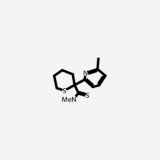 CNC(=S)C1(c2cccc(C)n2)CCCCS1